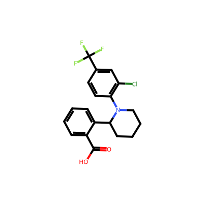 O=C(O)c1ccccc1C1CCCCN1c1ccc(C(F)(F)F)cc1Cl